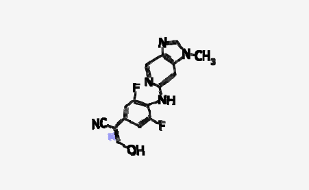 Cn1cnc2cnc(Nc3c(F)cc(/C(C#N)=C\O)cc3F)cc21